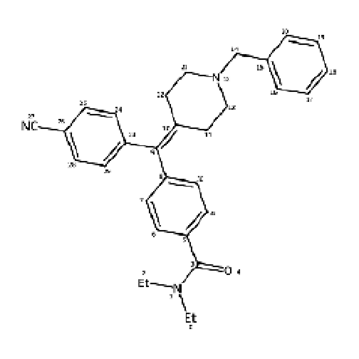 CCN(CC)C(=O)c1ccc(C(=C2CCN(Cc3ccccc3)CC2)c2ccc(C#N)cc2)cc1